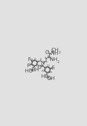 CNC(=O)[C@@H](N)CCN(Cc1cc(F)c(F)c(BO)c1)C(=O)c1cc(F)cc(BO)c1